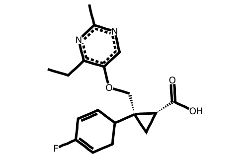 CCc1nc(C)ncc1OC[C@@]1(C2C=CC(F)=CC2)C[C@H]1C(=O)O